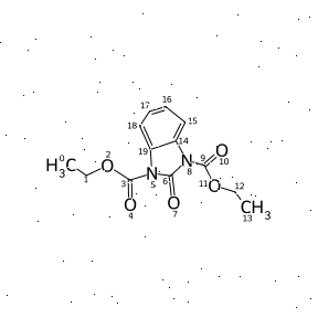 CCOC(=O)n1c(=O)n(C(=O)OCC)c2ccccc21